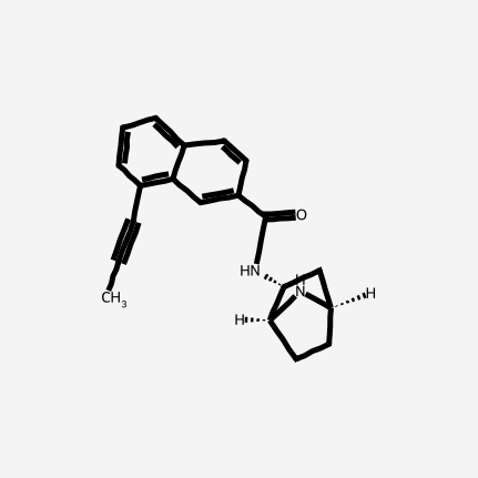 CC#Cc1cccc2ccc(C(=O)N[C@@H]3C[C@H]4CC[C@@H]3N4)cc12